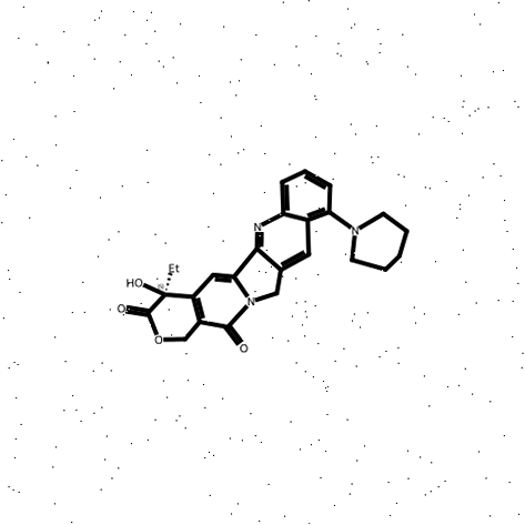 CC[C@@]1(O)C(=O)OCc2c1cc1n(c2=O)Cc2cc3c(N4CCCCC4)cccc3nc2-1